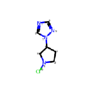 ClN1CCC(n2cncn2)C1